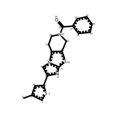 Cc1csc(-c2cn3c4c(sc3n2)CN(C(=O)c2ccccc2)CC4)c1